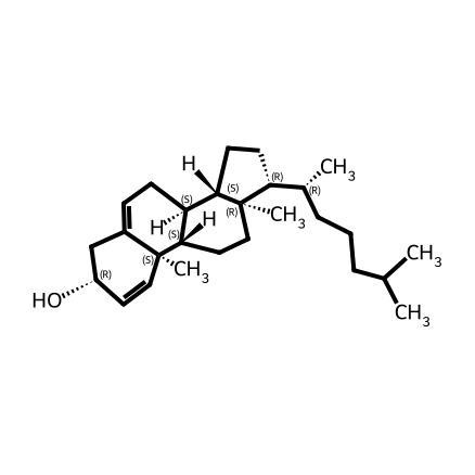 CC(C)CCC[C@@H](C)[C@H]1CC[C@H]2[C@@H]3CC=C4C[C@@H](O)C=C[C@]4(C)[C@H]3CC[C@]12C